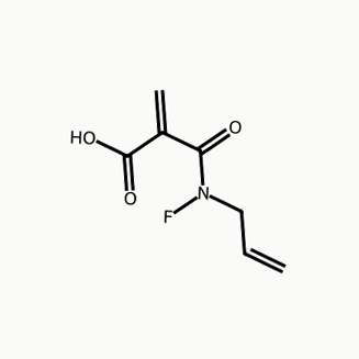 C=CCN(F)C(=O)C(=C)C(=O)O